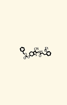 CCOc1ccccc1CCC(=O)Nc1sc2c(c1C#N)CCC(OC(=O)OCc1ccccc1)C2